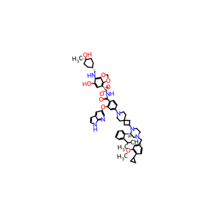 COc1cc(CN2CCN(C3CC4(CCN(c5ccc(C(=O)NS(=O)(=O)c6cc(O)c(NC[C@H]7CC[C@](C)(O)CC7)c7c6OCO7)c(Oc6cnc7[nH]ccc7c6)c5)CC4)C3)[C@H](c3ccccc3C(C)C)C2)ccc1C1CC1